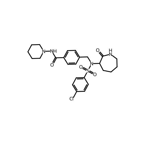 O=C(NN1CCCCC1)c1ccc(CN(C2CCCCNC2=O)S(=O)(=O)c2ccc(Cl)cc2)cc1